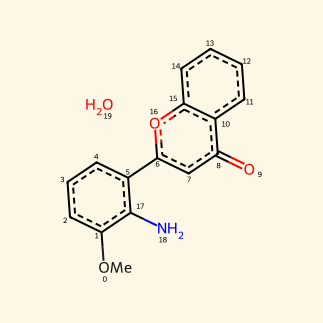 COc1cccc(-c2cc(=O)c3ccccc3o2)c1N.O